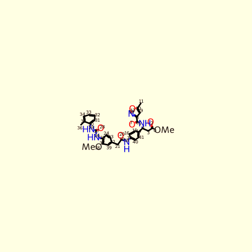 COC(=O)CC(NC(=O)c1cc(C)on1)c1ccc(NC(=O)Cc2ccc(NC(=O)Nc3ccccc3C)c(OC)c2)cc1